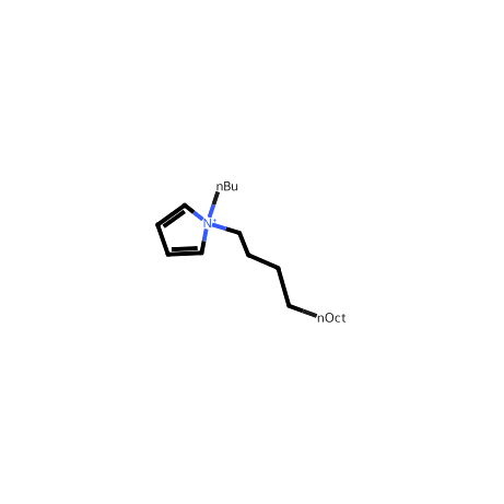 CCCCCCCCCCCC[N+]1(CCCC)C=CC=C1